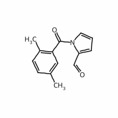 Cc1ccc(C)c(C(=O)n2cccc2C=O)c1